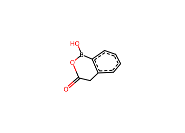 O=C1Cc2ccccc2B(O)O1